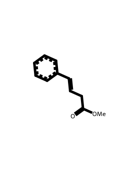 [CH2]OC(=O)CC=Cc1ccccc1